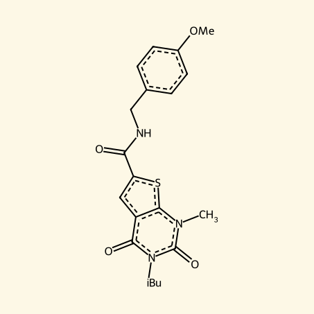 CCC(C)n1c(=O)c2cc(C(=O)NCc3ccc(OC)cc3)sc2n(C)c1=O